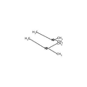 CCCCCCCCCCCCCCCCCCCCCC[n+]1ccc(C(CCCCCCCCCCCC)CCCCCCCCCCCC)cc1.CCCCCCCCCCCCCCCCCCCC[n+]1ccc(C(CCCC)CCCC)cc1